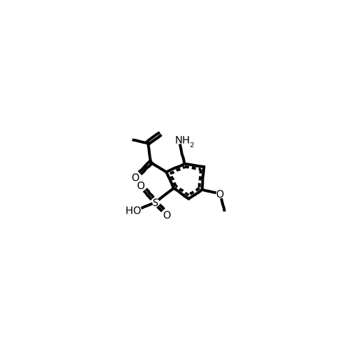 C=C(C)C(=O)c1c(N)cc(OC)cc1S(=O)(=O)O